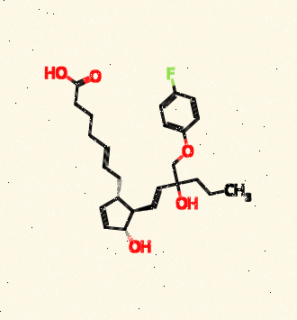 CCCC(O)(C=C[C@H]1[C@H](O)C=C[C@@H]1CC=CCCCC(=O)O)COc1ccc(F)cc1